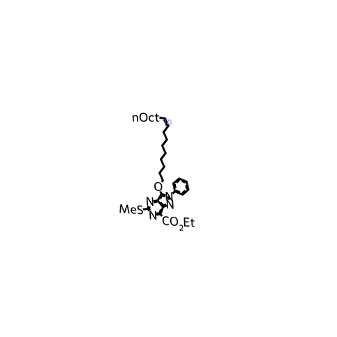 CCCCCCCC/C=C\CCCCCCCCOc1c2nc(SC)nc(C(=O)OCC)c2nn1-c1ccccc1